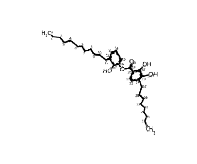 CCCCCCCCCCCCc1cccc(OC(=O)c2ccc(CCCCCCCCC)c(O)c2O)c1O